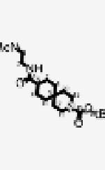 CNCCNC(=O)C1CCC2(CC1)CCN(C(=O)OC(C)(C)C)CC2